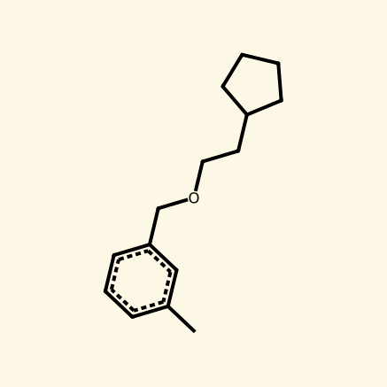 Cc1cccc(COCCC2CCCC2)c1